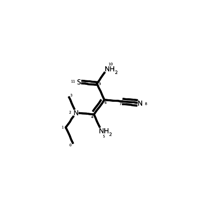 CCN(C)C(N)=C(C#N)C(N)=S